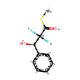 CCCCSC(=O)C(F)(F)C(O)c1ccccc1